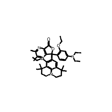 CCOc1cc(N(CC)CC)ccc1C1(c2cc3c4c(c2OCC)C(C)(C)CCN4CCC3(C)C)OC(=O)c2nc(C)c(C)nc21